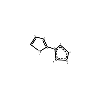 C1=C[N]C(c2ccns2)=C1